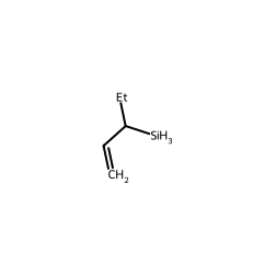 C=CC([SiH3])CC